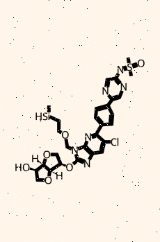 C[SiH](C)CCOCn1c(O[C@@H]2CO[C@H]3[C@@H]2OC[C@H]3O)nc2cc(Cl)c(-c3ccc(-c4cnc(N=S(C)(C)=O)cn4)cc3)nc21